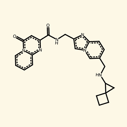 O=C(NCc1cn2cc(CNC3CC34CCC4)ccc2n1)c1cc(=O)n2ccccc2n1